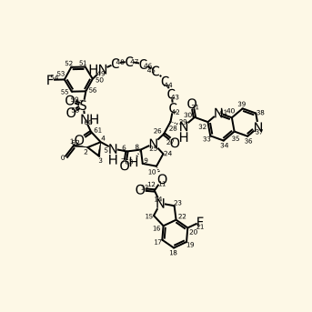 C=C[C@@H]1C[C@@]12NC(=O)[C@@H]1C[C@@H](OC(=O)N3Cc4cccc(F)c4C3)CN1C(=O)[C@@H](NC(=O)c1ccc3cnccc3n1)CCCCCCCNc1ccc(F)cc1S(=O)(=O)NC2=O